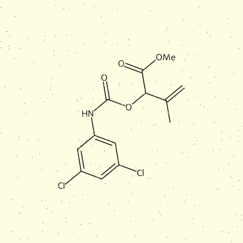 C=C(C)C(OC(=O)Nc1cc(Cl)cc(Cl)c1)C(=O)OC